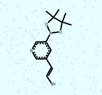 CC(C)/C=C/c1cncc(B2OC(C)(C)C(C)(C)O2)c1